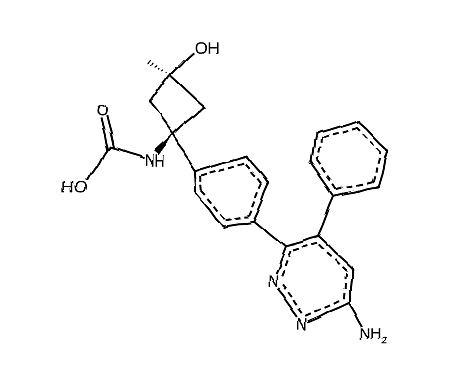 C[C@]1(O)C[C@](NC(=O)O)(c2ccc(-c3nnc(N)cc3-c3ccccc3)cc2)C1